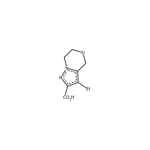 CCc1c(C(=O)O)nn2c1COCC2